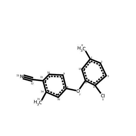 Cc1ccc(Cl)c(Oc2ccc(C#N)c(C)c2)c1